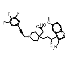 COc1ccc2ncc(CN)c([C@@H](F)CCC3(CC(=O)O)CCN(CC#Cc4cc(F)c(F)c(F)c4)CC3)c2c1